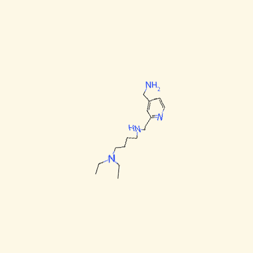 CCN(CC)CCCCNCc1cc(CN)ccn1